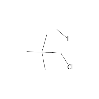 CC(C)(C)CCl.CI